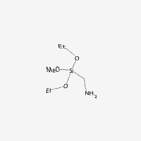 CCO[Si](CN)(OC)OCC